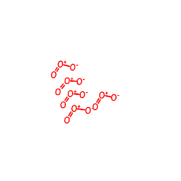 O=[O+][O-].O=[O+][O-].O=[O+][O-].O=[O+][O-].O=[O+][O-]